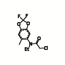 CCN(C(=O)CCl)c1cc2c(cc1C)OC(F)(F)O2